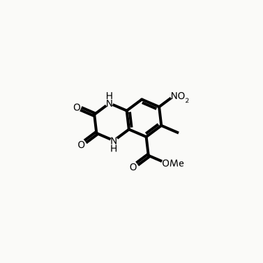 COC(=O)c1c(C)c([N+](=O)[O-])cc2[nH]c(=O)c(=O)[nH]c12